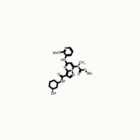 COc1ncccc1Nc1cc(N(C)C(=O)OC(C)(C)C)n2ncc(C(=O)NC3CCC[C@H](O)C3)c2n1